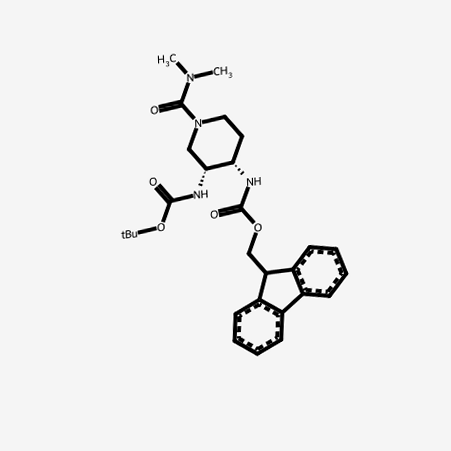 CN(C)C(=O)N1CC[C@H](NC(=O)OCC2c3ccccc3-c3ccccc32)[C@H](NC(=O)OC(C)(C)C)C1